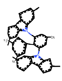 Cc1ccc2c3ccc(C)cc3n(-c3cc(C#N)cc(-n4c5cc(C)ccc5c5ccc(C)cc54)c3-c3cc(C#N)cc(C(F)(F)F)c3)c2c1